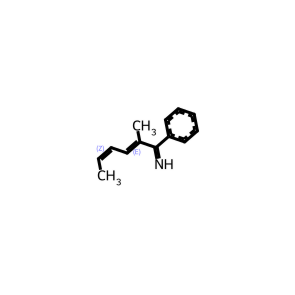 C/C=C\C=C(/C)C(=N)c1ccccc1